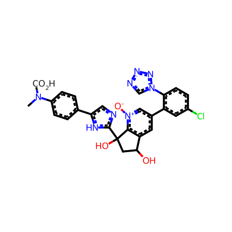 CN(C(=O)O)c1ccc(-c2cnc(C3(O)CC(O)c4cc(-c5cc(Cl)ccc5-n5cnnn5)c[n+]([O-])c43)[nH]2)cc1